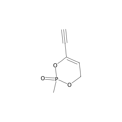 C#CC1=CCOP(C)(=O)O1